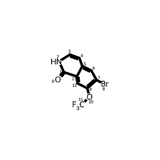 O=c1[nH]ccc2cc(Br)c(OC(F)(F)F)cc12